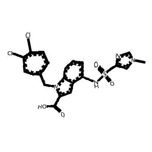 Cn1cnc(S(=O)(=O)Nc2cccc3c2cc(C(=O)O)n3Cc2ccc(Cl)c(Cl)c2)c1